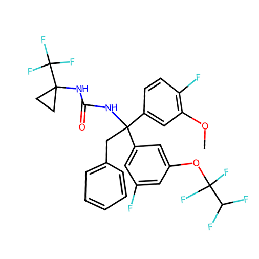 COc1cc(C(Cc2ccccc2)(NC(=O)NC2(C(F)(F)F)CC2)c2cc(F)cc(OC(F)(F)C(F)F)c2)ccc1F